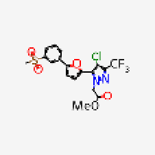 COC(=O)Cn1nc(C(F)(F)F)c(Cl)c1-c1ccc(-c2cccc(S(C)(=O)=O)c2)o1